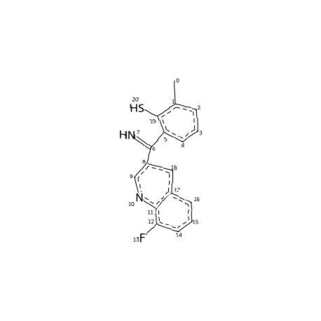 Cc1cccc(C(=N)c2cnc3c(F)cccc3c2)c1S